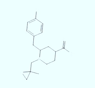 CC1(CN2CCC(C(=O)O)CC2Cc2ccc(Cl)cc2)CO1